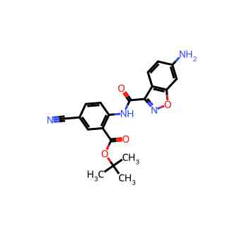 CC(C)(C)OC(=O)c1cc(C#N)ccc1NC(=O)c1noc2cc(N)ccc12